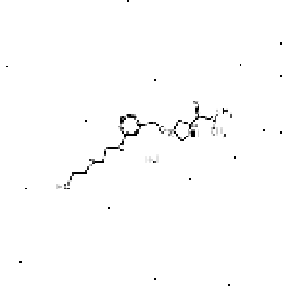 CN(C)C(=S)[C@@H]1C[C@@H](OCc2cccc(OCCOCCO)c2)CN1.Cl